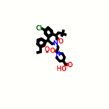 CCc1cccc(C2CN(CC(=O)N3CCC(C(=O)O)CC3)C(=O)C(CC(C)(C)C)c3ccc(Cl)cc32)c1OC